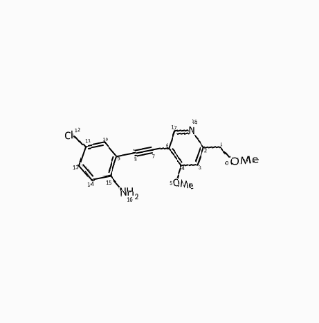 COCc1cc(OC)c(C#Cc2cc(Cl)ccc2N)cn1